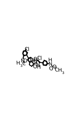 COC(=O)Nc1ccc(-c2nc(C3(O)CCc4c(OC)c(-c5cc(Cl)ccc5C#N)c[n+]([O-])c43)[nH]c2Cl)cc1